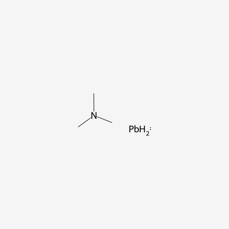 CN(C)C.[PbH2]